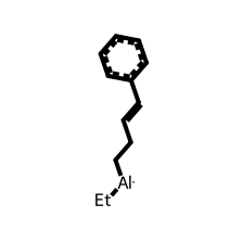 C[CH2][Al][CH2]CC=Cc1ccccc1